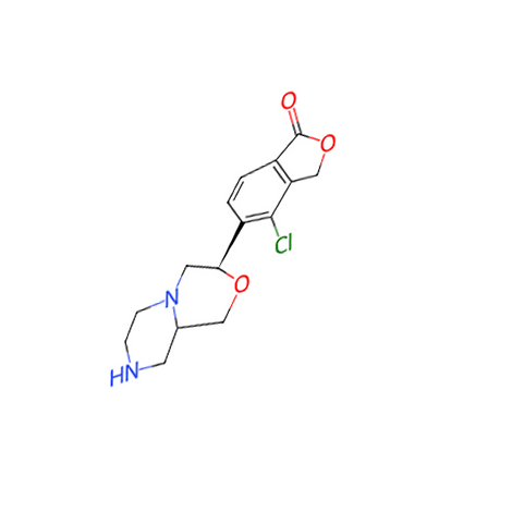 O=C1OCc2c1ccc([C@@H]1CN3CCNCC3CO1)c2Cl